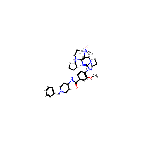 COc1cc(C(=O)NC2CCN(Cc3ccccc3)CC2)ccc1NC1=NC2=C(C[N+]13CCC3)[N+](C)([O-])CCCN2C1CCCC1